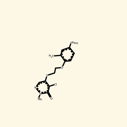 CCCCCc1ccc(OCCSc2cnn(C(C)(C)C)c(=O)c2Cl)c(C)c1